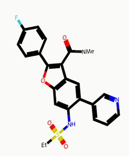 CCS(=O)(=O)Nc1cc2oc(-c3ccc(F)cc3)c(C(=O)NC)c2cc1-c1cccnc1